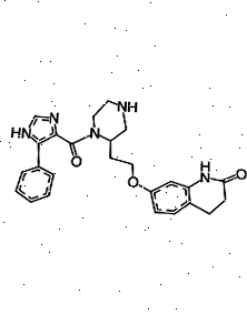 O=C1CCc2ccc(OCCC3CNCCN3C(=O)c3nc[nH]c3-c3ccccc3)cc2N1